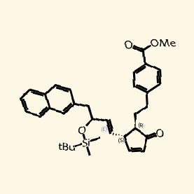 COC(=O)c1ccc(CC[C@H]2C(=O)C=C[C@@H]2/C=C/C(Cc2ccc3ccccc3c2)O[Si](C)(C)C(C)(C)C)cc1